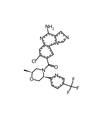 C[C@H]1CN(C(=O)c2cc3c(cc2Cl)nc(N)c2cncn23)[C@@H](c2ccc(C(F)(F)F)cn2)CO1